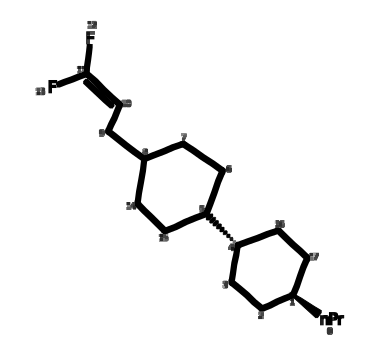 CCC[C@H]1CC[C@H](C2CCC(CC=C(F)F)CC2)CC1